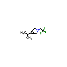 CC(C)C1C2CN(CC(F)(F)F)CC21